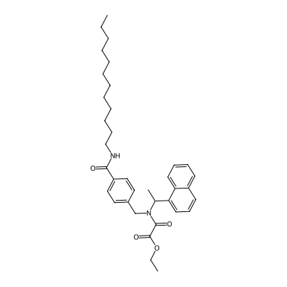 CCCCCCCCCCCCNC(=O)c1ccc(CN(C(=O)C(=O)OCC)C(C)c2cccc3ccccc23)cc1